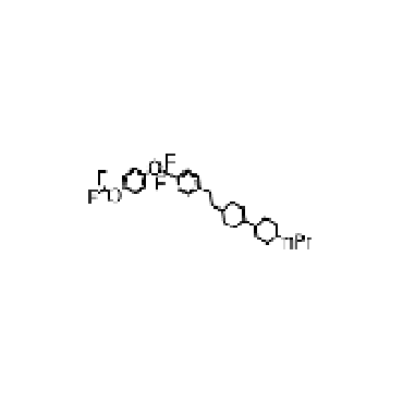 CCCC1CCC(C2CCC(CCc3ccc(C(F)(F)Oc4ccc(OC(F)F)cc4)cc3)CC2)CC1